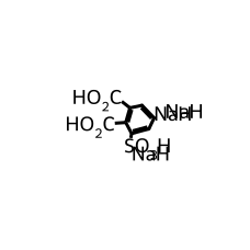 O=C(O)c1cccc(S(=O)(=O)O)c1C(=O)O.[NaH].[NaH].[NaH]